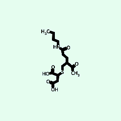 CCCCNC(=O)CCC(CSC(CC(=O)O)C(=O)O)C(C)=O